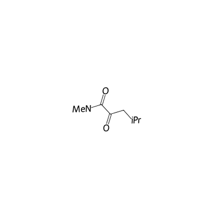 CNC(=O)C(=O)CC(C)C